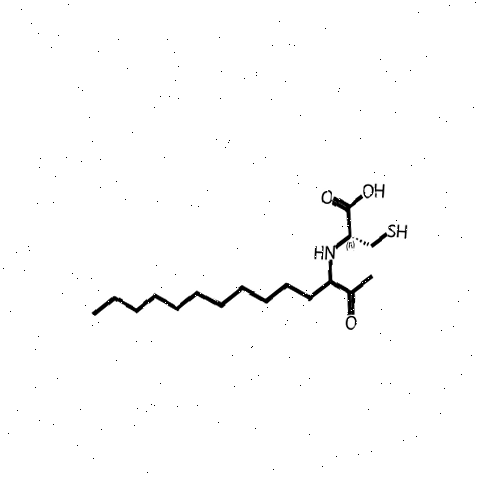 CCCCCCCCCCCC(N[C@@H](CS)C(=O)O)C(C)=O